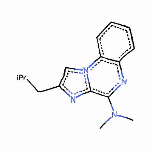 CC(C)Cc1cn2c(n1)c(N(C)C)nc1ccccc12